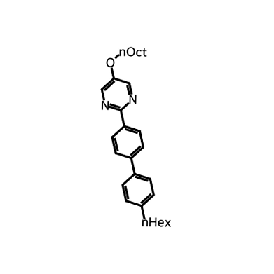 CCCCCCCCOc1cnc(-c2ccc(-c3ccc(CCCCCC)cc3)cc2)nc1